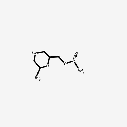 BC1CNCC(CO[PH](N)=O)O1